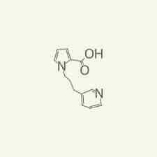 O=C(O)c1cccn1CCCc1cccnc1